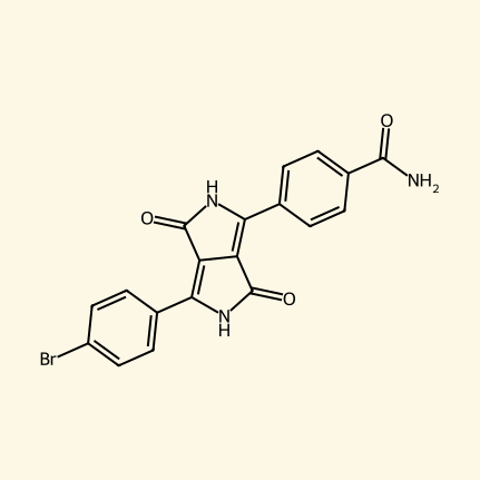 NC(=O)c1ccc(C2=C3C(=O)NC(c4ccc(Br)cc4)=C3C(=O)N2)cc1